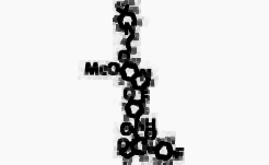 COc1cc2c(Oc3ccc(NC(=O)c4c5c(cn(-c6ccc(F)cc6)c4=O)CCO5)cc3F)ccnc2cc1OCCCN1CCC(C)(C)CC1